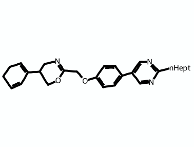 CCCCCCCc1ncc(-c2ccc(OCC3=NCC(C4=CCCC=C4)CO3)cc2)cn1